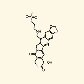 CS(=O)(=O)CCCNCc1c2c(nc3cc4c(cc13)OCO4)-c1cc3c(c(=O)n1C2)COC(=O)[C@H]3O